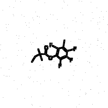 CCC(C)(C)C(=O)Oc1c(F)c(C)c(F)c(F)c1F